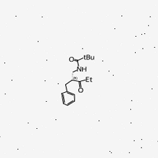 CCC(=O)[C@@H](CNC(=O)C(C)(C)C)Cc1ccccc1